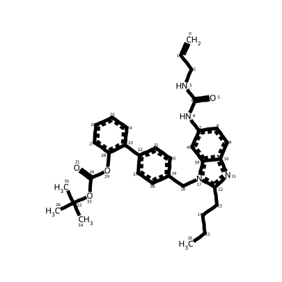 C=CCNC(=O)Nc1ccc2nc(CCCC)n(Cc3ccc(-c4ccccc4OC(=O)OC(C)(C)C)cc3)c2c1